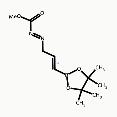 COC(=O)N=NC/C=C/B1OC(C)(C)C(C)(C)O1